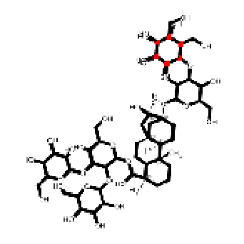 C[C@@]1(C(O)OC2OC(CO)C(O)C(OC3OC(CO)C(O)C(O)C3O)C2OC2OC(CO)C(O)C(O)C2O)CCC[C@]2(C)C1CC[C@@]13C[C@@](OC4OC(CO)C(O)C(OC5OC(CO)C(O)C(O)C5O)C4OC4OC(CO)C(O)C(O)C4O)(CC[C@H]12)[C@](C)(O)C3